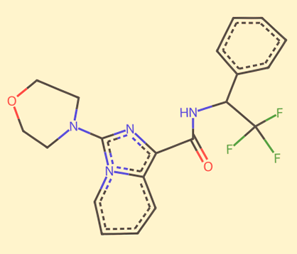 O=C(NC(c1ccccc1)C(F)(F)F)c1nc(N2CCOCC2)n2ccccc12